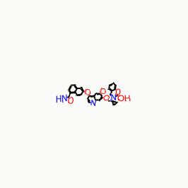 CNC(=O)c1cccc2cc(Oc3ccnc4cc(OCC5(N(Cc6ccccc6)C(=O)O)CC5)c(OC)cc34)ccc12